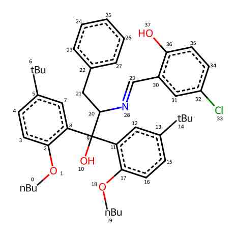 CCCCOc1ccc(C(C)(C)C)cc1C(O)(c1cc(C(C)(C)C)ccc1OCCCC)C(Cc1ccccc1)N=Cc1cc(Cl)ccc1O